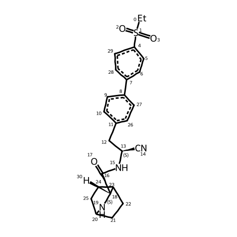 CCS(=O)(=O)c1ccc(-c2ccc(C[C@@H](C#N)NC(=O)[C@H]3NC4CCC3CC4)cc2)cc1